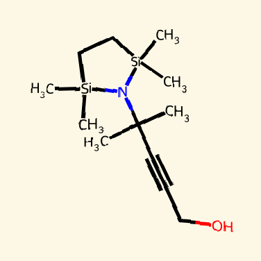 CC(C)(C#CCO)N1[Si](C)(C)CC[Si]1(C)C